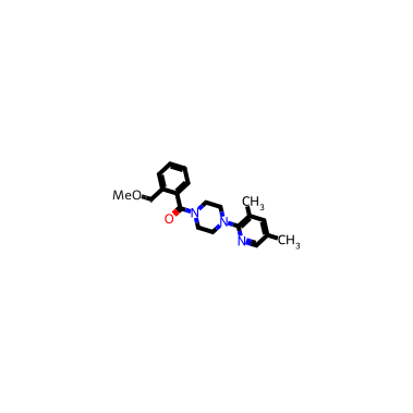 CO[CH]c1ccccc1C(=O)N1CCN(c2ncc(C)cc2C)CC1